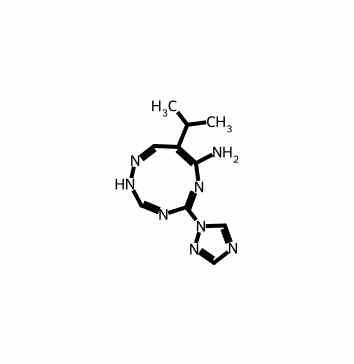 CC(C)c1cn[nH]cnc(-n2cncn2)nc1N